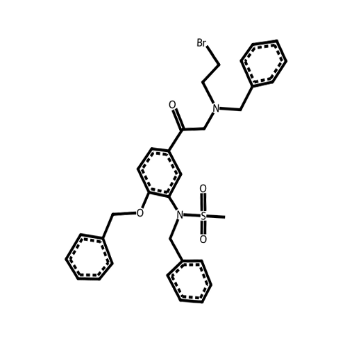 CS(=O)(=O)N(Cc1ccccc1)c1cc(C(=O)CN(CCBr)Cc2ccccc2)ccc1OCc1ccccc1